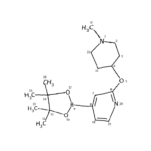 CN1CCC(Oc2cc(B3OC(C)(C)C(C)(C)O3)ccn2)CC1